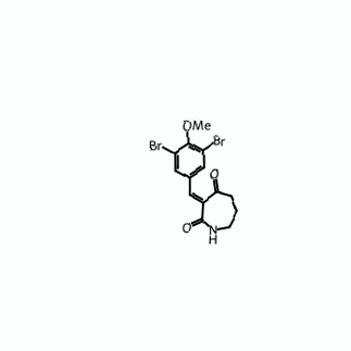 COc1c(Br)cc(/C=C2\C(=O)CCCNC2=O)cc1Br